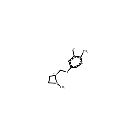 Cc1ncc(OC[C@@H]2CCN2C)cc1C#N